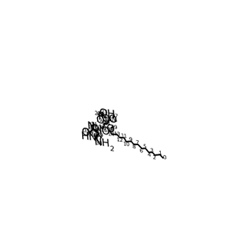 CCCCCCCCCCCCCCCCO[C@@H]([C@@H](OP(C)(=O)O)C(COC)OC)n1cnc2c(=O)[nH]c(N)nc21